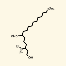 CCCCCCCCCCCCCCCCCCCCC(CCCCCCCCC)CCCC(CCO)N(CC)CC